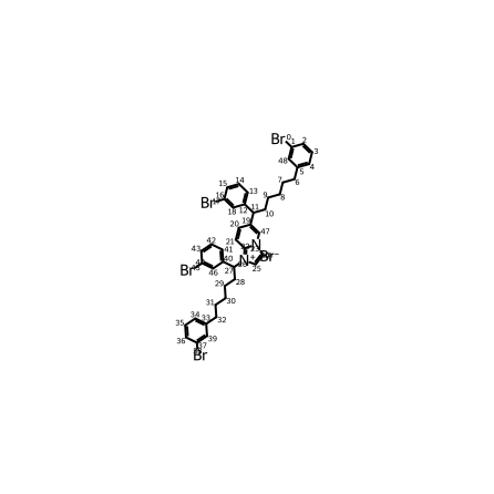 Brc1cccc(CCCCCC(c2cccc(Br)c2)c2ccc3n(cc[n+]3C(CCCCCc3cccc(Br)c3)c3cccc(Br)c3)c2)c1.[Br-]